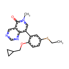 CCSc1ccc(OCC2CC2)c(-c2cn(C)c(=O)c3cncnc23)c1